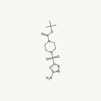 CC(C)(C)OC(=O)N1CCN(S(=O)(=O)c2cnc(N)s2)CC1